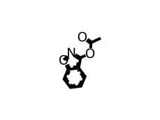 CC(=O)Oc1noc2ccccc12